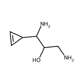 NCC(O)C(N)C1C=C1